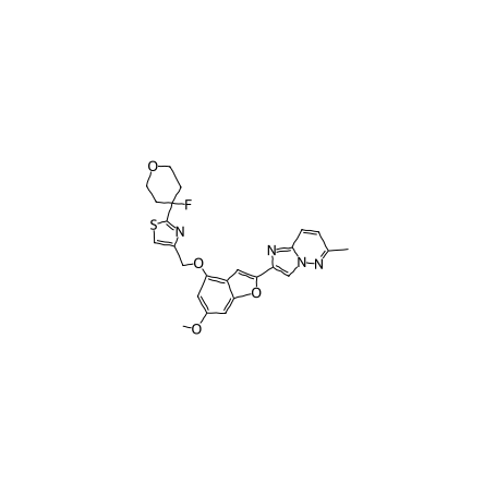 COc1cc(OCc2csc(C3(F)CCOCC3)n2)c2cc(-c3cn4nc(C)ccc4n3)oc2c1